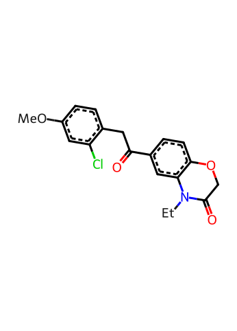 CCN1C(=O)COc2ccc(C(=O)Cc3ccc(OC)cc3Cl)cc21